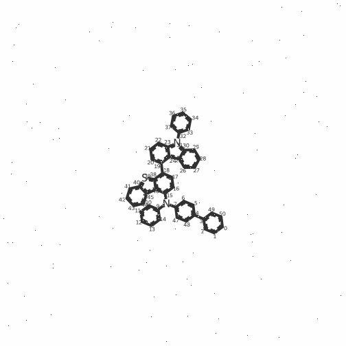 c1ccc(-c2ccc(N(c3ccccc3)c3ccc(-c4cccc5c4c4ccccc4n5-c4ccccc4)c4sc5ccccc5c34)cc2)cc1